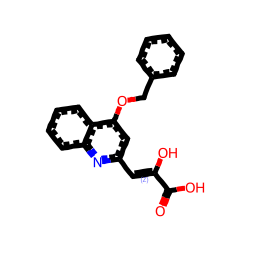 O=C(O)/C(O)=C/c1cc(OCc2ccccc2)c2ccccc2n1